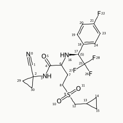 N#CC1(NC(=O)C(CCS(=O)(=O)CC2CC2)N[C@@H](c2ccc(F)cc2)C(F)(F)F)CC1